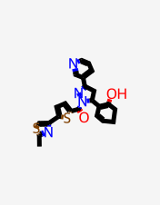 Cc1nc(-c2ccc(C(=O)N3N=C(c4cccnc4)CC3C3=C(O)CCC=C3)s2)cs1